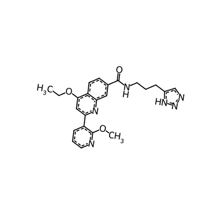 CCOc1cc(-c2cccnc2OC)nc2cc(C(=O)NCCCc3cnn[nH]3)ccc12